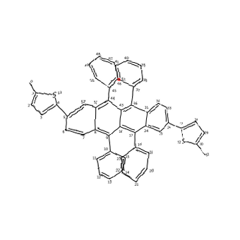 Cc1ccc(-c2ccc3c(-c4ccccc4)c4c(-c5ccccc5)c5cc(-c6ccc(C)s6)ccc5c(-c5ccccc5)c4c(-c4ccccc4)c3c2)s1